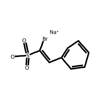 O=S(=O)([O-])C(Br)=Cc1ccccc1.[Na+]